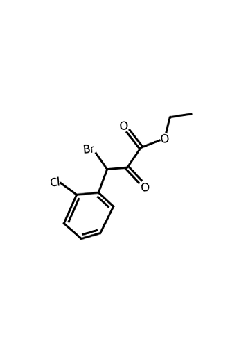 CCOC(=O)C(=O)C(Br)c1ccccc1Cl